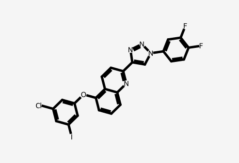 Fc1ccc(-n2cc(-c3ccc4c(Oc5cc(Cl)cc(I)c5)cccc4n3)nn2)cc1F